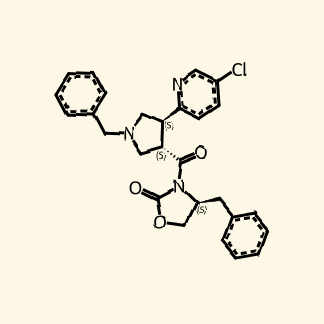 O=C1OC[C@H](Cc2ccccc2)N1C(=O)[C@@H]1CN(Cc2ccccc2)C[C@H]1c1ccc(Cl)cn1